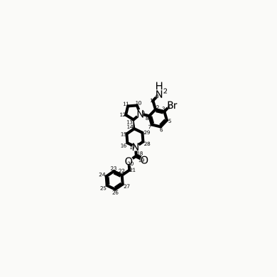 NCc1c(Br)cccc1N1CCC[C@@H]1C1CCN(C(=O)OCc2ccccc2)CC1